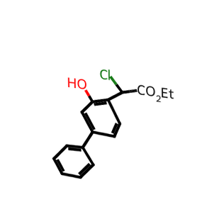 CCOC(=O)C(Cl)c1ccc(-c2ccccc2)cc1O